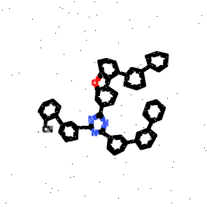 N#Cc1ccccc1-c1cccc(-c2nc(-c3cccc(-c4cccc(-c5ccccc5)c4)c3)nc(-c3ccc4c(c3)oc3cccc(-c5cccc(-c6ccccc6)c5)c34)n2)c1